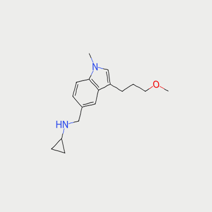 COCCCc1cn(C)c2ccc(CNC3CC3)cc12